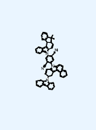 CC1(C)c2ccccc2C2c3c(n(-c4cc(C#N)c(-n5c6c(c7c8ccccc8ccc75)CC(n5c7ccccc7c7ccccc75)C=C6)cc4C#N)c4ccccc34)C=CC21